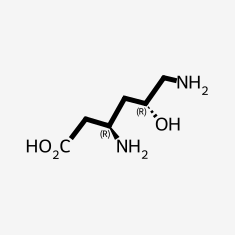 NC[C@H](O)C[C@@H](N)CC(=O)O